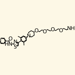 Cc1cc(N2CCC(OCCOCCOCCOCCN)CC2)cc(C)c1-c1csc(NC(=O)c2ccncc2)n1